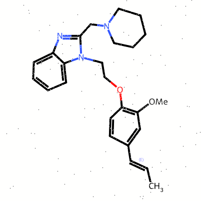 C/C=C/c1ccc(OCCn2c(CN3CCCCC3)nc3ccccc32)c(OC)c1